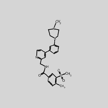 Cc1ccc(C(=O)NCc2cc(-c3cccc(N4CCN(C)CC4)c3)ccn2)cc1S(C)(=O)=O